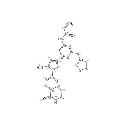 C=CC(=O)Nc1cc(CN2CCCC2)cc(-n2cc(-c3ccc4c(c3)CCNC4=O)c(N)n2)c1